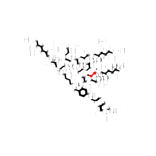 Nc1nc2ncc(CNc3ccc(C(=O)NCCCC(=O)N[C@@H](CCC(=O)NC[C@H](O)[C@@H](O)[C@H](O)[C@H](O)CO)C(=O)N[C@@H](CCC(=O)O)C(=O)N[C@@H](CCC(=O)NC[C@H](O)[C@@H](O)[C@H](O)[C@H](O)CO)C(=O)N[C@@H](CCC(=O)O)C(=O)N[C@@H](CCC(=O)NC[C@H](O)[C@@H](O)[C@H](O)[C@H](O)CO)C(=O)N[C@@H](CS)C(=O)O)cc3)nc2c(=O)[nH]1